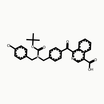 CC(C)(C)OC(=O)N(Cc1ccc(Cl)cc1)Cc1ccc(C(=O)c2ncc(C(=O)O)c3ccccc23)cc1